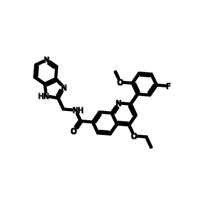 CCOc1cc(-c2cc(F)ccc2OC)nc2cc(C(=O)NCc3nc4cnccc4[nH]3)ccc12